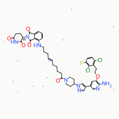 Nc1ncc(-c2cnn(C3CCN(C(=O)CCCC/C=C/CCCNc4cccc5c4C(=O)N([C@@H]4CCC(=O)NC4=O)C5=O)CC3)c2)cc1OCCc1c(Cl)ccc(F)c1Cl